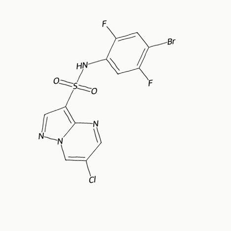 O=S(=O)(Nc1cc(F)c(Br)cc1F)c1cnn2cc(Cl)cnc12